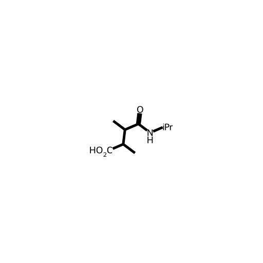 CC(C)NC(=O)C(C)C(C)C(=O)O